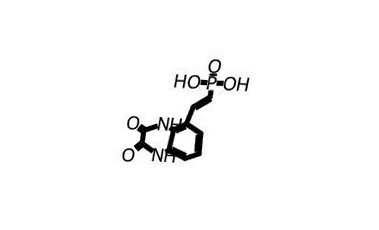 O=c1[nH]c2cccc(C=CP(=O)(O)O)c2[nH]c1=O